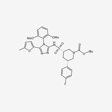 COc1cccc(OC)c1-n1c(NS(=O)(=O)[C@H]2C[C@@H](c3ccc(F)cc3)CN(C(=O)OC(C)(C)C)C2)nnc1-c1ccc(C)o1